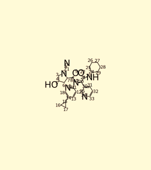 N#CN1C[C@H](O)C[C@@H]1C(=O)N(c1ccc(C2CC2)cn1)C(C(=O)NC1CCCCC1)c1cccnc1